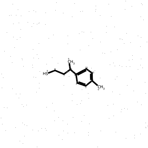 Cc1ccc(C(C)CCS)cc1